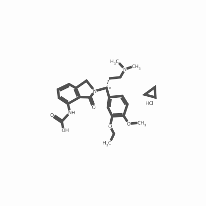 C1CC1.CCOc1cc([C@@H](CCN(C)C)N2Cc3cccc(NC(=O)O)c3C2=O)ccc1OC.Cl